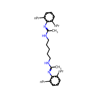 CCCc1cccc(CCC)c1/N=C(\C)NCCCCCN/C(C)=N/c1c(CCC)cccc1CCC